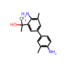 Cc1cc(-c2cc(C)c(N)c(C(C)(O)C(F)(F)F)c2)ccc1N